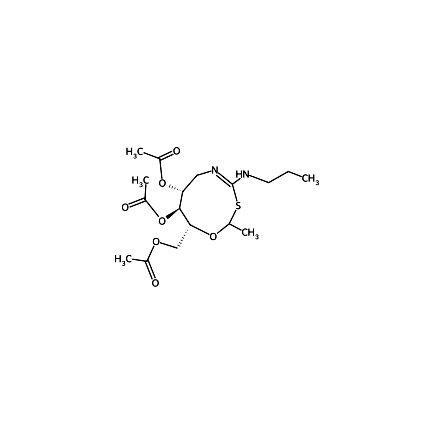 CCCN/C1=N/C[C@@H](OC(C)=O)[C@H](OC(C)=O)[C@@H](COC(C)=O)OC(C)S1